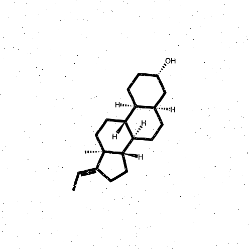 C/C=C1\CC[C@H]2[C@@H]3CC[C@@H]4C[C@@H](O)CC[C@@H]4[C@H]3CC[C@]12C